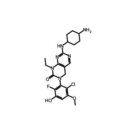 CCN1C(=O)N(c2c(F)c(O)cc(OC)c2Cl)Cc2cnc(NC3CCC(N)CC3)nc21